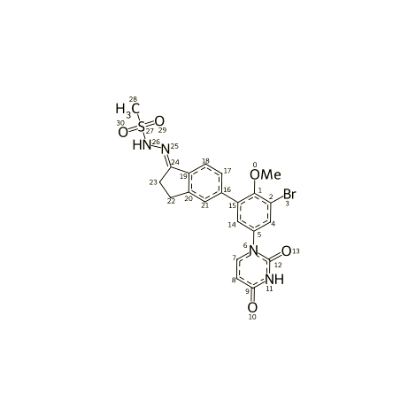 COc1c(Br)cc(-n2ccc(=O)[nH]c2=O)cc1-c1ccc2c(c1)CC/C2=N\NS(C)(=O)=O